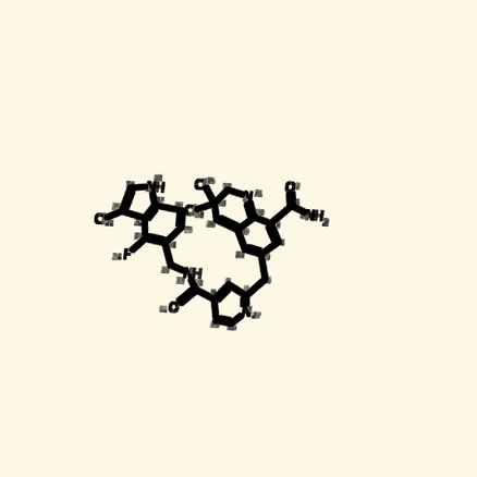 NC(=O)c1cc(Cc2cc(C(=O)NCc3ccc4[nH]cc(Cl)c4c3F)ccn2)cc2c1=NCC(Cl)(Cl)C=2